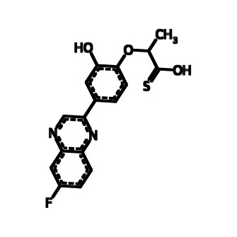 CC(Oc1ccc(-c2cnc3cc(F)ccc3n2)cc1O)C(O)=S